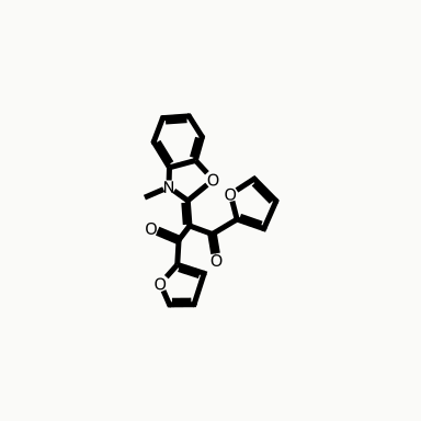 CN1C(=C(C(=O)c2ccco2)C(=O)c2ccco2)Oc2ccccc21